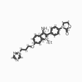 CCn1c(-c2ccc(N3CCOC3=O)cc2)c(N)c2ccc(OCCCn3cncn3)cc21